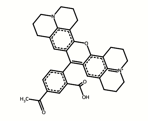 CC(=O)c1ccc(C2=c3cc4c5c(c3Oc3c2cc2c6c3CCCN6CCC2)CCC[N+]=5CCC4)c(C(=O)O)c1